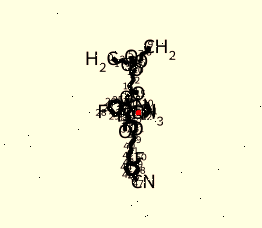 C=CCOP(=O)(OCC=C)OCCCC(=O)O[C@@](Cn1cncn1)(c1ccc(F)cc1F)[C@@H](C)SC1COC(C=CC=Cc2ccc(C#N)cc2F)OC1